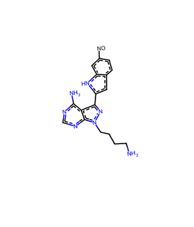 NCCCCn1nc(-c2cc3ccc(N=O)cc3[nH]2)c2c(N)ncnc21